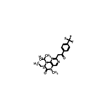 CC[C@@H]1C(=O)N(C)c2cnc(CC(=O)c3ccc(C(F)(F)F)cc3)nc2N1C(C)C